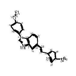 CCOc1ccc(-n2cnc3cc(C=Cc4ccc(C(C)(C)C)cc4)ccc32)cc1